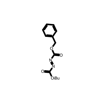 CC(C)COC(=O)/N=N/C(=O)OCc1ccccc1